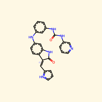 O=C(Nc1cccnc1)Nc1cccc(Nc2ccc3c(c2)NC(=O)/C3=C\c2ccc[nH]2)c1